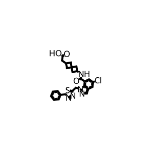 O=C(O)CC1CC2(C1)CC(NC(=O)c1cc(Cl)cc3cnn(Cc4nnc(-c5ccccc5)s4)c13)C2